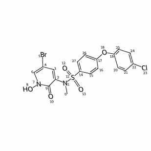 CN(c1cc(Br)cn(O)c1=O)S(=O)(=O)c1ccc(Oc2ccc(Cl)cc2)cc1